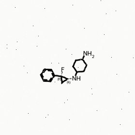 NC1CCC(N[C@@H]2C[C@@]2(F)c2ccccc2)CC1